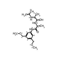 COCc1cc(COC)cc(NC(=O)[C@H](C)NC(O)[C@H](C)NC(C)C)c1